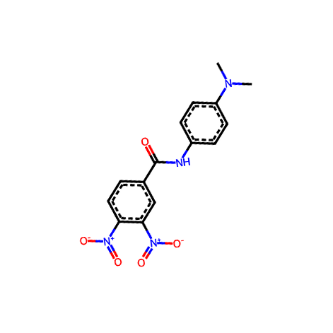 CN(C)c1ccc(NC(=O)c2ccc([N+](=O)[O-])c([N+](=O)[O-])c2)cc1